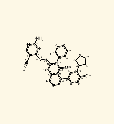 C[C@@H](Nc1nc(N)ncc1C#N)c1nc2cccc(-c3ccc(=O)n(C4CCCC4)c3)c2c(=O)n1-c1ccccc1